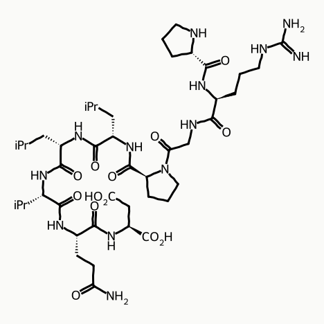 CC(C)C[C@H](NC(=O)[C@H](CC(C)C)NC(=O)[C@@H]1CCCN1C(=O)CNC(=O)[C@H](CCCNC(=N)N)NC(=O)[C@@H]1CCCN1)C(=O)N[C@H](C(=O)N[C@@H](CCC(N)=O)C(=O)N[C@@H](CC(=O)O)C(=O)O)C(C)C